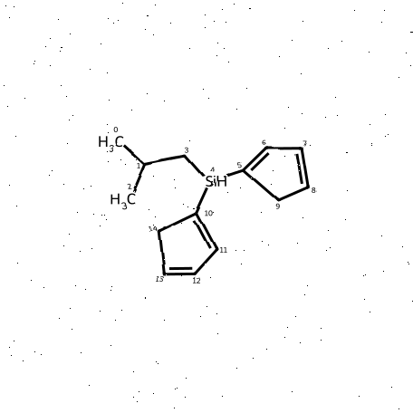 CC(C)C[SiH](C1=CC=CC1)C1=CC=CC1